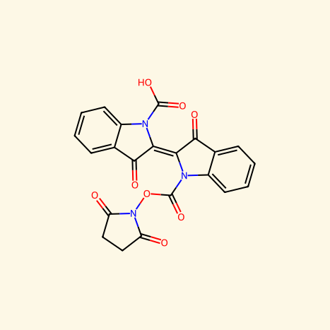 O=C1/C(=C2/C(=O)c3ccccc3N2C(=O)ON2C(=O)CCC2=O)N(C(=O)O)c2ccccc21